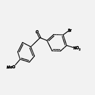 COc1ccc(C(=O)c2ccc([N+](=O)[O-])c(Br)c2)cc1